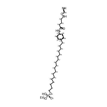 CCOP(=O)(O)OCCCCCCCCCCCCCCCCCCc1ccc(NC(=O)CCCBOC=N)cc1